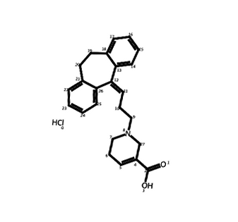 Cl.O=C(O)C1=CCCN(CCC=C2c3ccccc3CCc3ccccc32)C1